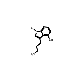 CC(C)n1cc(CCCN)c2c(O)cccc21